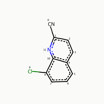 N#Cc1ccc2cccc(Cl)c2n1